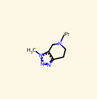 CC(C)N1CCc2nnn(C)c2C1